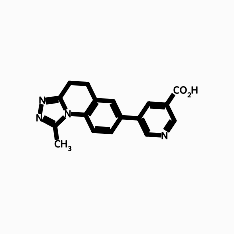 Cc1nnc2n1-c1ccc(-c3cncc(C(=O)O)c3)cc1CC2